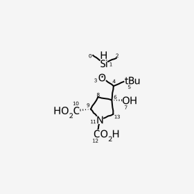 C[SiH](C)OC(C(C)(C)C)[C@]1(O)C[C@@H](C(=O)O)N(C(=O)O)C1